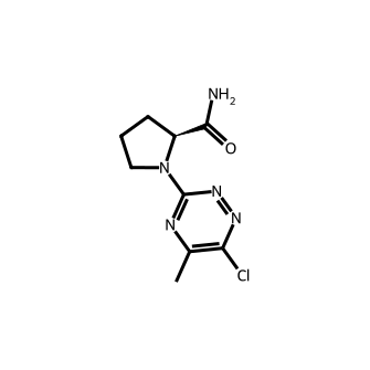 Cc1nc(N2CCC[C@H]2C(N)=O)nnc1Cl